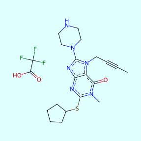 CC#CCn1c(N2CCNCC2)nc2nc(SC3CCCC3)n(C)c(=O)c21.O=C(O)C(F)(F)F